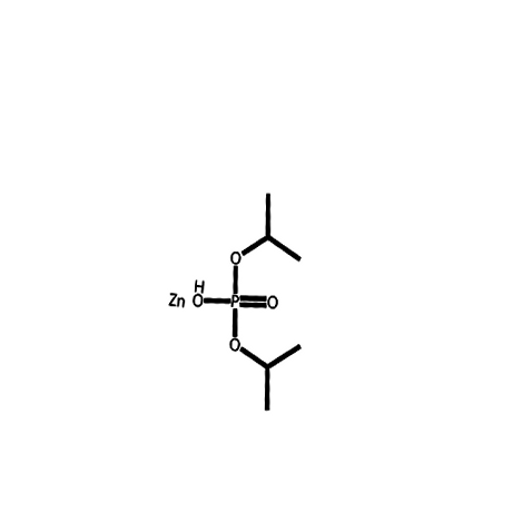 CC(C)OP(=O)(O)OC(C)C.[Zn]